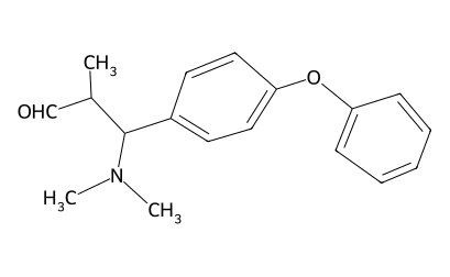 CC(C=O)C(c1ccc(Oc2ccccc2)cc1)N(C)C